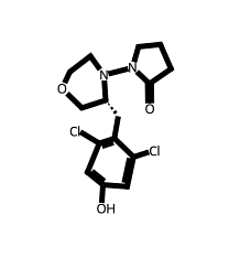 O=C1CCCN1N1CCOC[C@H]1Cc1c(Cl)cc(O)cc1Cl